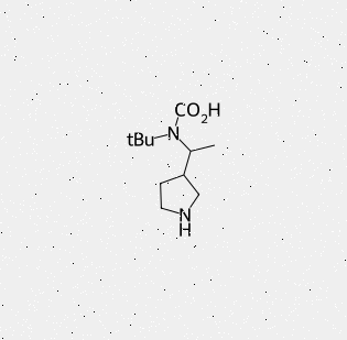 CC(C1CCNC1)N(C(=O)O)C(C)(C)C